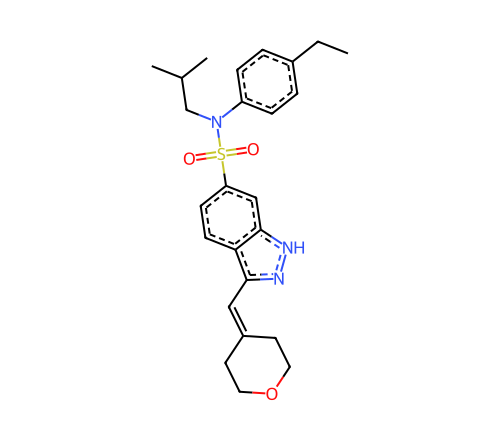 CCc1ccc(N(CC(C)C)S(=O)(=O)c2ccc3c(C=C4CCOCC4)n[nH]c3c2)cc1